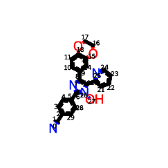 N#Cc1ccc(-c2nc(-c3ccc4c(c3)OCCO4)c(-c3ccccn3)n2O)cc1